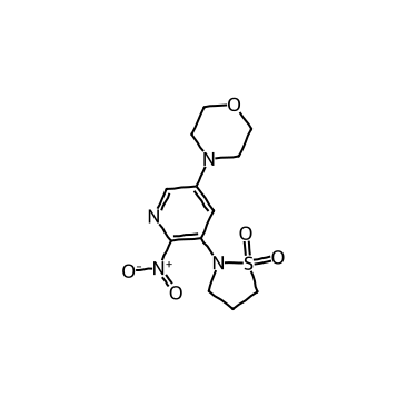 O=[N+]([O-])c1ncc(N2CCOCC2)cc1N1CCCS1(=O)=O